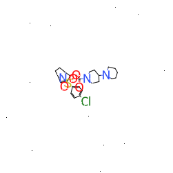 O=C(O[C@H]1C=CC2CCC1N2S(=O)(=O)c1ccc(Cl)cc1)N1CCC(N2CCCCC2)CC1